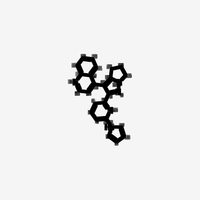 C1=C[SH](c2cccc(-c3nn4c(c3-c3ccnc5ccccc35)CCC4)n2)C=C1